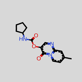 Cc1ccn2c(=O)c(OC(=O)NC3CCCC3)cnc2c1